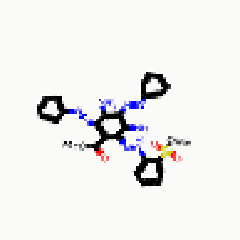 COC(=O)C1=C(/N=N/c2ccccc2)C(N)=C(/N=N/c2ccccc2)C(=N)/C1=N\Nc1ccccc1S(=O)(=O)OC